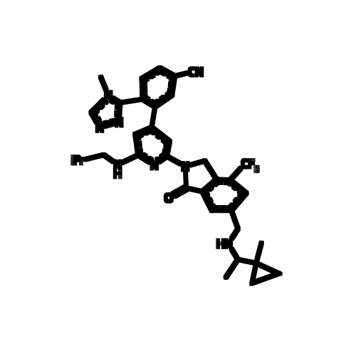 CC(C)CNc1cc(-c2cc(C#N)ccc2-c2nncn2C)cc(N2Cc3c(cc(CNC(C)C4(C)CC4)cc3C(F)(F)F)C2=O)n1